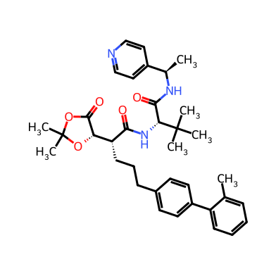 Cc1ccccc1-c1ccc(CCC[C@@H](C(=O)N[C@H](C(=O)N[C@H](C)c2ccncc2)C(C)(C)C)[C@@H]2OC(C)(C)OC2=O)cc1